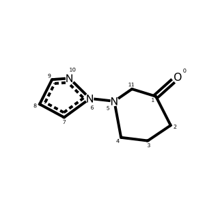 O=C1CCCN(n2cccn2)C1